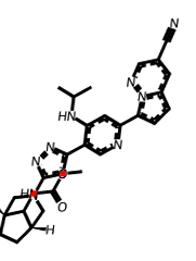 COC(=O)NC1[C@@H]2CC[C@H]1CN(c1nnc(-c3cnc(-c4ccc5cc(C#N)cnn45)cc3NC(C)C)s1)C2